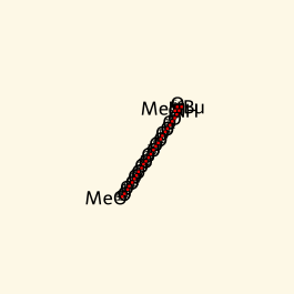 CC[C@H](C)[C@H](NC(=O)CCOCCOCCOCCOCCOCCOCCOCCOCCOCCOCCOCCOCCOCCOCCOCCOC)C(=O)NC